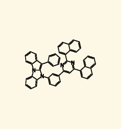 c1ccc(-c2c3ccccc3n3c4ccccc4n(-c4cccc(-c5cc(-c6cccc7ccccc67)nc(-c6cccc7ccccc67)n5)c4)c23)cc1